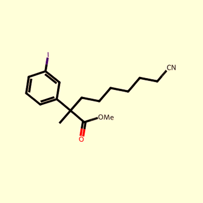 COC(=O)C(C)(CCCCCCC#N)c1cccc(I)c1